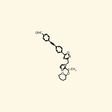 C[C@H](OC1CCCCO1)c1nccn1Cc1cc(-c2ccc(C#Cc3ccc(C=O)cc3)cc2)on1